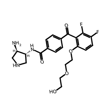 N[C@@H]1CNC[C@H]1NC(=O)c1ccc(C(=O)c2c(OCCOCCO)ccc(F)c2F)cc1